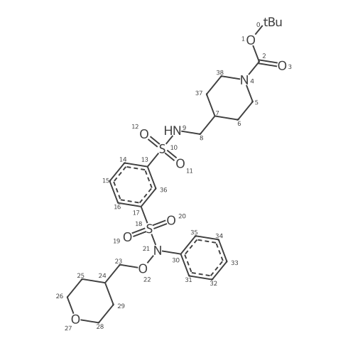 CC(C)(C)OC(=O)N1CCC(CNS(=O)(=O)c2cccc(S(=O)(=O)N(OCC3CCOCC3)c3ccccc3)c2)CC1